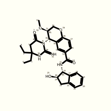 CCC1(CC)CC(=O)N([C@H]2c3cc(C(=O)N[C@@H]4c5ccccc5C[C@H]4O)ccc3OC[C@@H]2OC)C(=N)N1